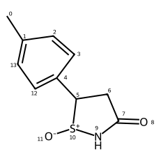 Cc1ccc(C2CC(=O)N[S+]2[O-])cc1